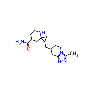 Cc1nnc2n1CC[C@H](CC1CC13CC(C(N)=O)CCN3)C2